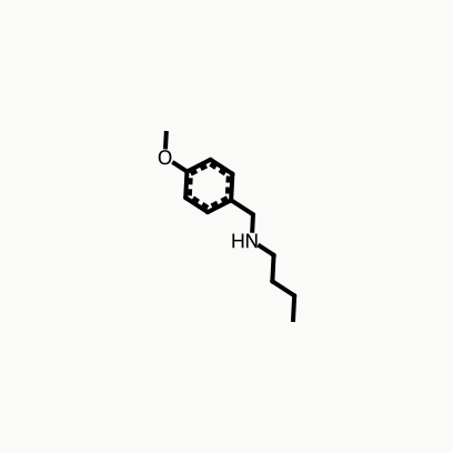 CCCCNCc1ccc(OC)cc1